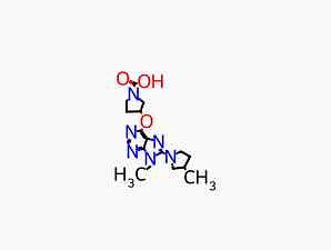 CCn1c(N2CCC(C)C2)nc2c(O[C@H]3CCN(C(=O)O)C3)ncnc21